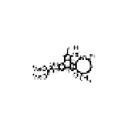 CC[C@H]1CCCC[C@@H](C)C(=O)C2=CC3[C@@H]4C[C@H](OC(O)[C@H](COC)OC)CC4C4C=C(CO)C(=O)C4[C@H]3[C@@H]2CC(=O)O1